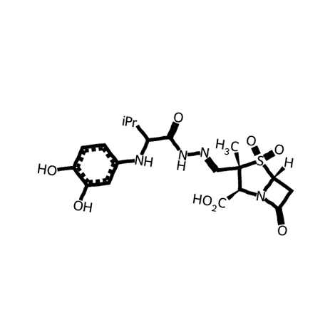 CC(C)C(Nc1ccc(O)c(O)c1)C(=O)N/N=C/[C@@]1(C)[C@H](C(=O)O)N2C(=O)C[C@H]2S1(=O)=O